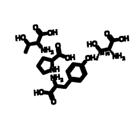 CC(O)C(N)C(=O)O.C[C@H](O)[C@@H](N)C(=O)O.NC(Cc1ccc(O)cc1)C(=O)O.O=C(O)C1CCCN1